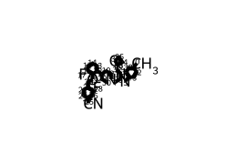 Cc1ccc2nc(CN3CCC(c4cccc(F)c4OCc4ccc(C#N)cc4F)CC3)n(C[C@@H]3CCO3)c2c1